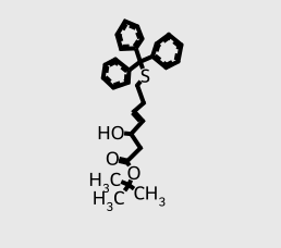 CC(C)(C)OC(=O)CC(O)/C=C/CCSC(c1ccccc1)(c1ccccc1)c1ccccc1